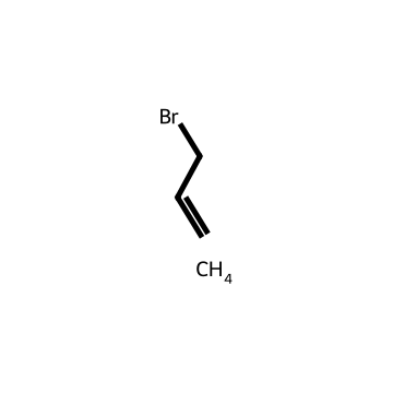 C.C=CCBr